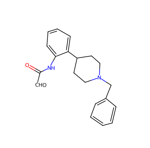 O=CC(=O)Nc1ccccc1C1CCN(Cc2ccccc2)CC1